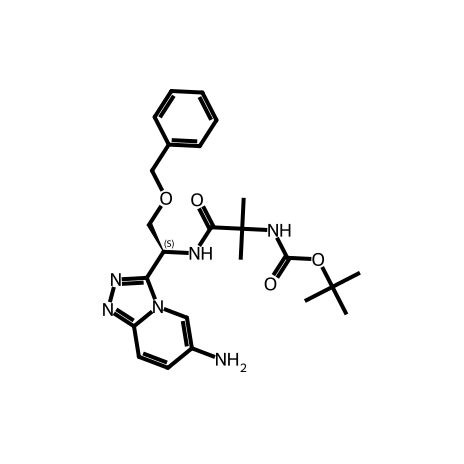 CC(C)(C)OC(=O)NC(C)(C)C(=O)N[C@H](COCc1ccccc1)c1nnc2ccc(N)cn12